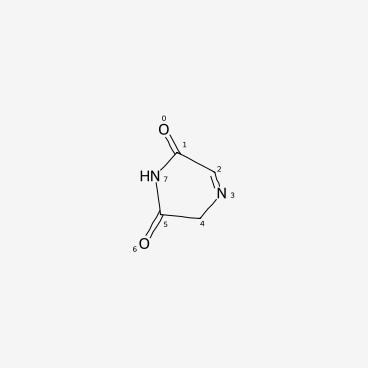 O=C1C=NCC(=O)N1